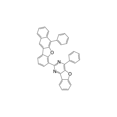 c1ccc(-c2c3ccccc3cc3c2oc2c(-c4nc(-c5ccccc5)c5oc6ccccc6c5n4)cccc23)cc1